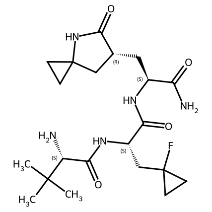 CC(C)(C)[C@H](N)C(=O)N[C@@H](CC1(F)CC1)C(=O)N[C@@H](C[C@@H]1CC2(CC2)NC1=O)C(N)=O